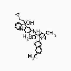 Bc1ccc(C(O)(CCC2CC2)c2ccccn2)cc1NC(=O)c1cc(C)nn1-c1ccc2cc(C)ccc2c1